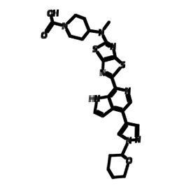 CN(c1nc2sc(-c3ncc(-c4cnn(C5CCCCO5)c4)c4cc[nH]c34)nc2s1)C1CCN(C(=O)O)CC1